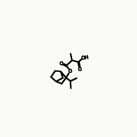 CC(C(=O)O)C(=O)OC1(C(C)C)CC2CCC1C2